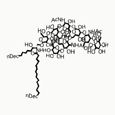 CCCCCCCCCCCCC/C=C/[C@@H](O)[C@H](CO[C@@H]1OC(CO)[C@@H](O[C@@H]2OC(CO)[C@H](O)[C@H](O[C@@H]3OC(CO)[C@@H](O[C@@H]4OC(CO[C@@H]5OC(CO)[C@@H](O[C@@H]6OC(CO)[C@H](O)[C@H](O)C6O)[C@H](O)C5NC(C)=O)[C@H](O)[C@H](O[C@@H]5OC(CO)[C@@H](O[C@@H]6OC(CO)[C@H](O)[C@H](O)C6O)[C@H](O)C5NC(C)=O)C4O)[C@H](O)C3NC(C)=O)C2O)[C@H](O)C1O)NC(=O)CCCCCCCCCCCCCCCCCCCCCCC